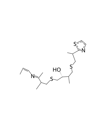 C/C=C\N=C(/C)C(C)CSC[C@H](O)C(C)CSCC(C)c1nccs1